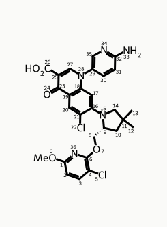 COc1ccc(Cl)c(OC[C@H]2CC(C)(C)CN2c2cc3c(cc2Cl)c(=O)c(C(=O)O)cn3-c2ccc(N)nc2)n1